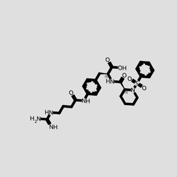 N=C(N)NCCCC(=O)Nc1ccc(C[C@H](NC(=O)[C@@H]2CCCCN2S(=O)(=O)c2ccccc2)C(=O)O)cc1